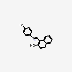 Oc1ccc2ccccc2c1/C=N/c1ccc(Br)cc1